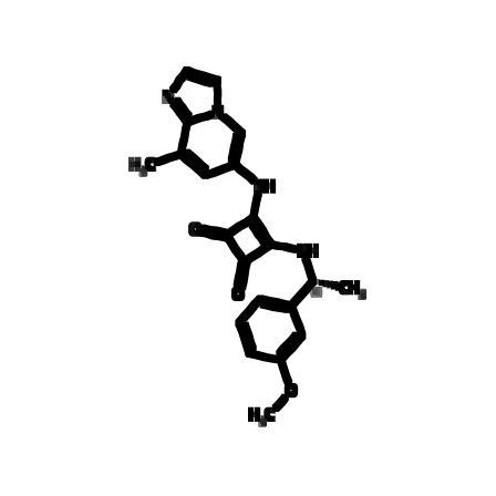 COc1cccc([C@@H](C)Nc2c(Nc3cc(C)c4nccn4c3)c(=O)c2=O)c1